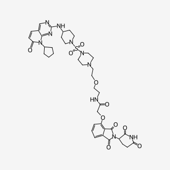 O=C(COc1cccc2c1C(=O)N(C1CCC(=O)NC1=O)C2=O)NCCOCCN1CCN(S(=O)(=O)N2CCC(Nc3ncc4ccc(=O)n(C5CCCC5)c4n3)CC2)CC1